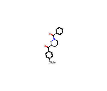 COc1ccc(C(=O)C2CCCN(C(=O)c3ccccc3)C2)cc1